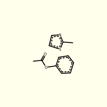 CC(=O)Oc1ccccc1.Cc1nccs1